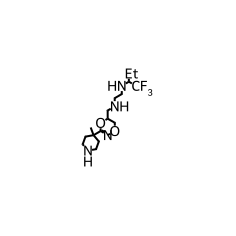 CCC(NCCNCC1CON=C(C2(C)CCNCC2)O1)C(F)(F)F